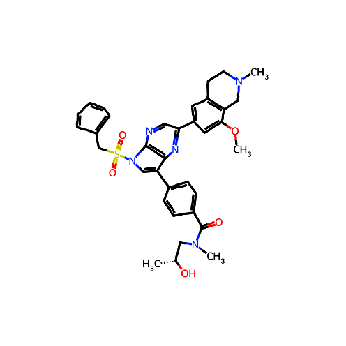 COc1cc(-c2cnc3c(n2)c(-c2ccc(C(=O)N(C)C[C@@H](C)O)cc2)cn3S(=O)(=O)Cc2ccccc2)cc2c1CN(C)CC2